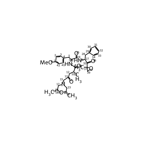 COc1ccc(C[C@H](NC(=O)C(C)CC(=O)CN2C[C@@H](C)O[C@@H](C)C2)C(=O)NC(Cc2ccccc2)C(=O)C2(C)CO2)cc1